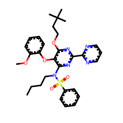 CCCCN(c1nc(-c2ncccn2)nc(OCCC(C)(C)C)c1Oc1ccccc1OC)S(=O)(=O)c1ccccc1